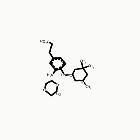 C1COCCO1.C[C@H]1C[C@@H](Nc2ccc(CCC(=O)O)cc2N)CC(C)(C)C1.Cl